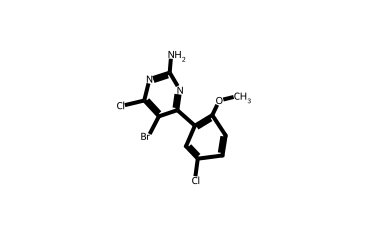 COc1ccc(Cl)cc1-c1nc(N)nc(Cl)c1Br